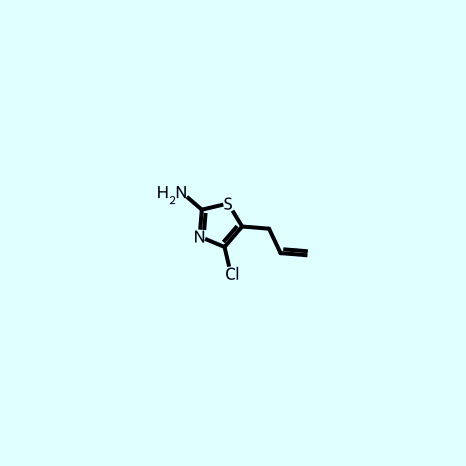 C=CCc1sc(N)nc1Cl